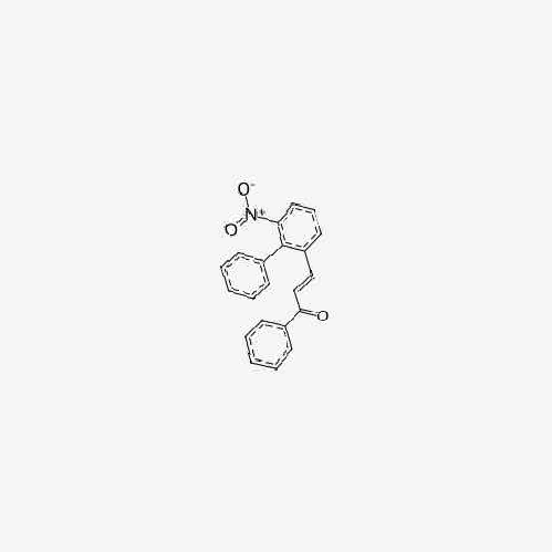 O=C(C=Cc1cccc([N+](=O)[O-])c1-c1ccccc1)c1ccccc1